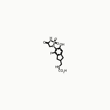 O=C(O)NCC1Cc2cc(O)c(N3CC(=O)NS3(=O)=O)c(F)c2C1